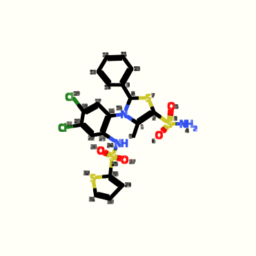 CC1=C(S(N)(=O)=O)SC(c2ccccc2)N1c1cc(Cl)c(Cl)cc1NS(=O)(=O)c1cccs1